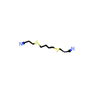 N#CCCSCCCCSCCC#N